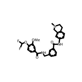 COc1cc(C(=O)NCc2cccc(C(=O)Nc3ccc4c(c3)CN(C)CC4)c2)ccc1OC(F)F